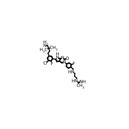 CC(=N)NCCCNCc1ccc(-n2cc3cc(-c4cc(CCC(C)(C)CN)cc(Cl)c4F)[nH]c3nc2=O)cc1F